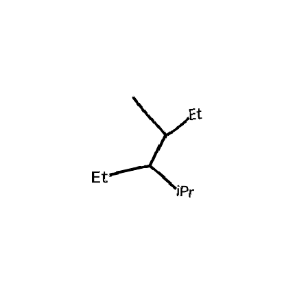 CC[C](C(C)C)C(C)CC